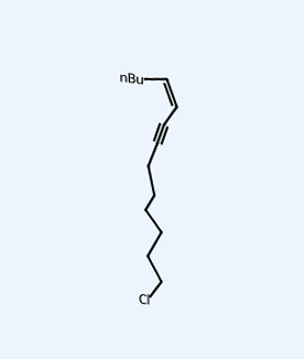 CCCC/C=C\C#CCCCCCCCl